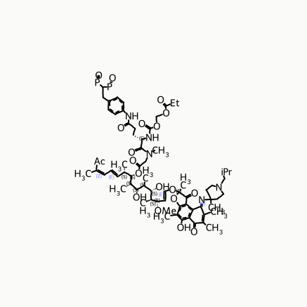 CCC(=O)OCOC(=O)N[C@@H](CCC(=O)Nc1ccc(CC(P=O)P=O)cc1)C(=O)N(C)CC(=O)O[C@H]([C@@H](C)[C@@H](O)[C@@H](C)[C@H](O)[C@H](C)[C@H](/C=C/O[C@@]1(C)Oc2c(C)c(O)c3c(c2C1=O)/C(=N/C1(C)CCN(CC(C)C)CC1)C(C)=C(C)C3=O)OC)[C@@H](C)/C=C/C=C(/C)C(C)=O